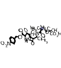 C/C(=N/OC(C)(C)C(=O)O)C(=O)N[C@H](C)[C@H]1C(=O)N[C@@H]1[C@@H](C)C(=O)C(=[N+]=[N-])C(=O)OCc1ccc([N+](=O)[O-])cc1